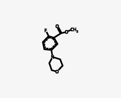 COC(=O)c1cc(N2CCOCC2)ccc1F